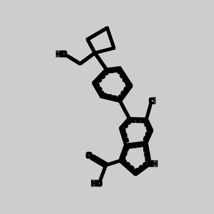 O=C(O)c1c[nH]c2cc(Cl)c(-c3ccc(C4(CO)CCC4)cc3)cc12